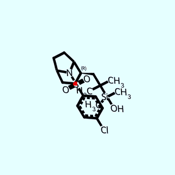 CC(C)(C[C@H]1CCC2CCC1N2S(=O)(=O)c1ccc(Cl)cc1)[Si](C)(C)O